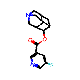 O=C(OC1C2CC3CC1CN(C3)C2)c1cncc(F)c1